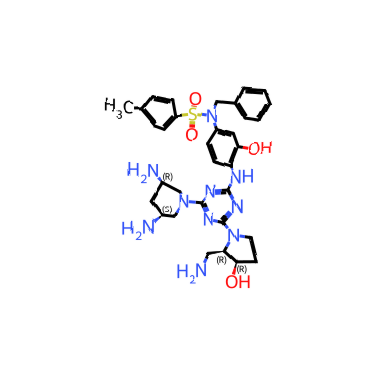 Cc1ccc(S(=O)(=O)N(Cc2ccccc2)c2ccc(Nc3nc(N4C[C@H](N)C[C@H](N)C4)nc(N4CC[C@@H](O)[C@H]4CN)n3)c(O)c2)cc1